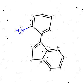 Nc1ccccc1C1=CCc2ccccc21